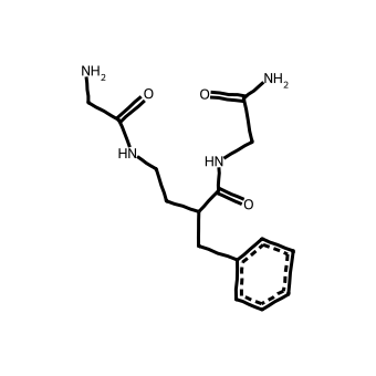 NCC(=O)NCCC(Cc1ccccc1)C(=O)NCC(N)=O